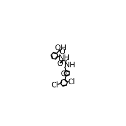 C[C@@H](NCc1ccc(-c2cc(Cl)ccc2Cl)o1)C(=O)Nc1ccccc1C(=O)O